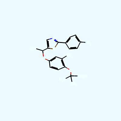 CCOC(=O)C(C)(C)Oc1ccc(OC(C)c2cnc(-c3ccc(C(F)(F)F)cc3)s2)cc1C